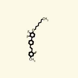 CCCCCCCOc1ccc(-c2ccc(/C=C/c3ccc(C)cc3F)cc2)c(F)c1F